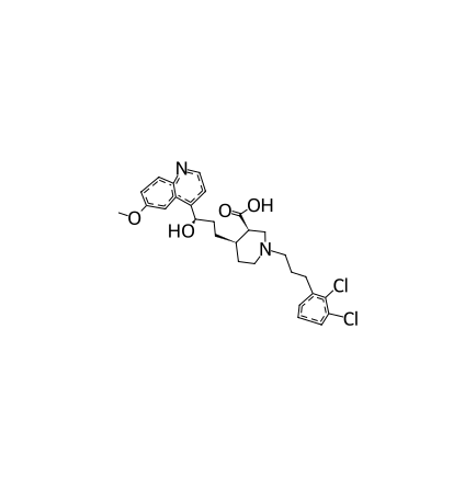 COc1ccc2nccc([C@H](O)CC[C@@H]3CCN(CCCc4cccc(Cl)c4Cl)C[C@@H]3C(=O)O)c2c1